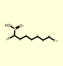 O=S(O)C(F)CCCCCCF